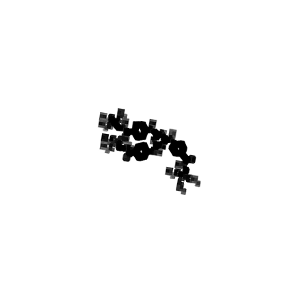 C[Si](C)(C)CNC(=O)c1ccc(Nc2nc(Nc3ccc(C(=O)NC[Si](C)(C)C)cc3)nc(Nc3ccc(C(=O)NC[Si](C)(C)C)cc3)n2)cc1